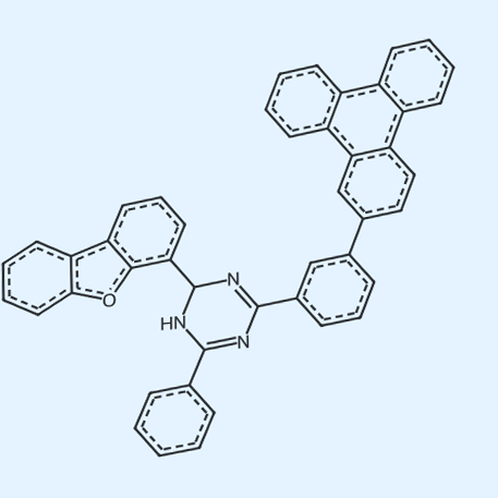 c1ccc(C2=NC(c3cccc(-c4ccc5c6ccccc6c6ccccc6c5c4)c3)=NC(c3cccc4c3oc3ccccc34)N2)cc1